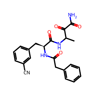 CC(NC(=O)[C@H](Cc1cccc(C#N)c1)NC(=O)Cc1ccccc1)C(=O)C(N)=O